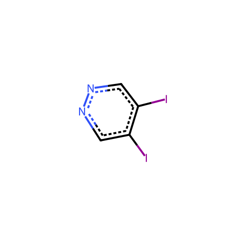 Ic1cnncc1I